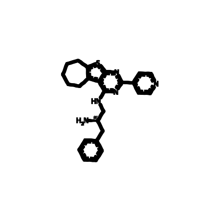 N[C@@H](CNc1nc(-c2ccncc2)nc2sc3c(c12)CCCCC3)Cc1ccccc1